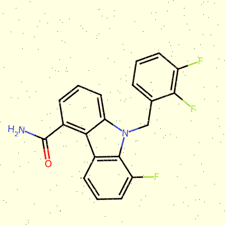 NC(=O)c1cccc2c1c1[c]ccc(F)c1n2Cc1cccc(F)c1F